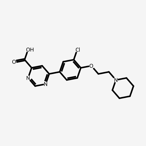 O=C(O)c1cc(-c2ccc(OCCN3CCCCC3)c(Cl)c2)ncn1